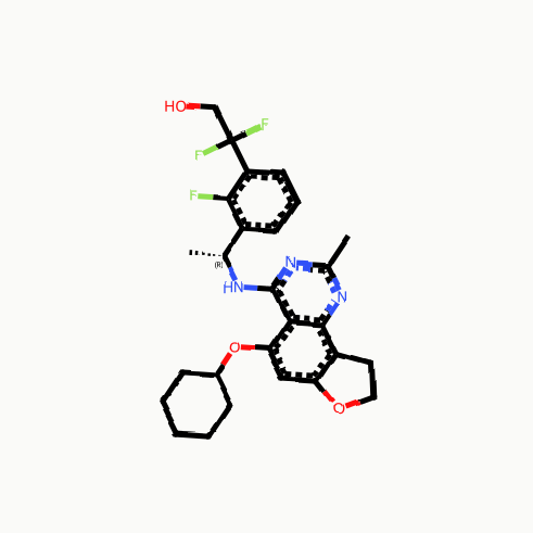 Cc1nc(N[C@H](C)c2cccc(C(F)(F)CO)c2F)c2c(OC3CCCCC3)cc3c(c2n1)CCO3